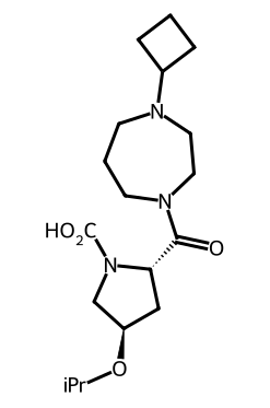 CC(C)O[C@@H]1C[C@@H](C(=O)N2CCCN(C3CCC3)CC2)N(C(=O)O)C1